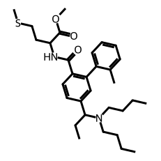 CCCCN(CCCC)C(CC)c1ccc(C(=O)NC(CCSC)C(=O)OC)c(-c2ccccc2C)c1